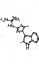 Cc1[nH]c2ccccc2c1-c1nc(NC(=N)N)sc1C